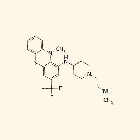 CNCCN1CCC(Nc2cc(C(F)(F)F)cc3c2N(C)c2ccccc2S3)CC1